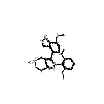 CCc1cccc(CC)c1-n1nc2c(c1-c1ccc(OC)c3[nH]ncc13)CNCC2.Cl